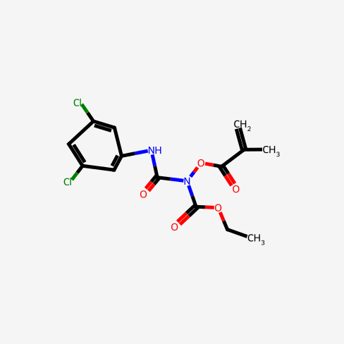 C=C(C)C(=O)ON(C(=O)Nc1cc(Cl)cc(Cl)c1)C(=O)OCC